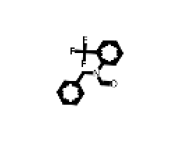 O=CN(Cc1ccccc1)c1ccccc1C(F)(F)F